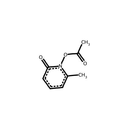 CC(=O)On1c(C)cccc1=O